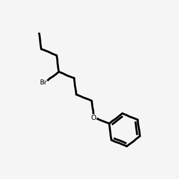 CCCC(Br)CCCOc1ccccc1